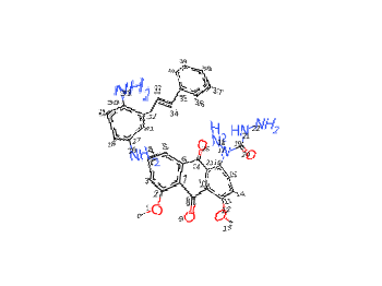 COc1cccc2c1C(=O)c1c(OC)ccc(N(N)C(=O)NN)c1C2=O.Nc1ccc(N)c(C=Cc2ccccc2)c1